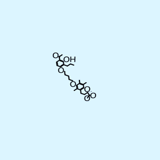 CCCc1c(OCCCCCOc2c(C)c(C)c3c(c2C)CC[C@](C)(C(=O)OC)O3)ccc(C(C)=O)c1O